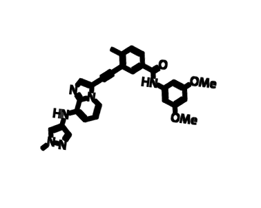 COc1cc(NC(=O)c2ccc(C)c(C#Cc3cnc4c(Nc5cnn(C)c5)cccn34)c2)cc(OC)c1